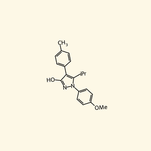 COc1ccc(-n2nc(O)c(-c3ccc(C)cc3)c2C(C)C)cc1